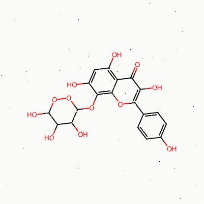 O=c1c(O)c(-c2ccc(O)cc2)oc2c(OC3OOC(O)C(O)C3O)c(O)cc(O)c12